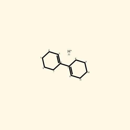 C1=C(C2=CCCCC2)CCCC1.[H+]